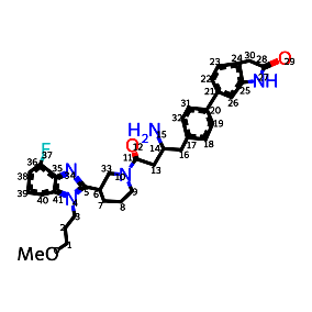 COCCCn1c(C2CCCN(C(=O)CC(N)Cc3ccc(-c4ccc5c(c4)NC(=O)C5)cc3)C2)nc2c(F)cccc21